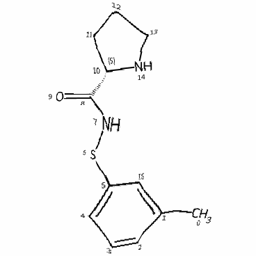 Cc1cccc(SNC(=O)[C@@H]2CCCN2)c1